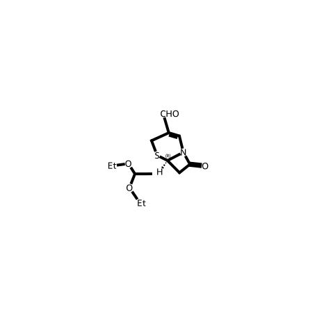 CCOC(C)OCC.O=CC1=CN2C(=O)C[C@H]2SC1